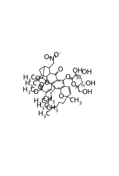 COC(=O)/C(C)=C\CC12OC(C)(C)C3CC(C1=O)C(C[N+](=O)[O-])C1C(=O)c4c(O[C@@H]5O[C@H](CO)[C@@H](O)[C@@H](O)[C@H]5O)c5c(c(CC=C(C)C)c4OC132)OC(C)(CCC=C(C)C)C=C5